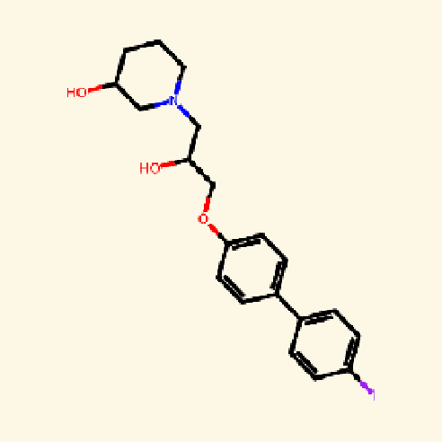 OC1CCCN(CC(O)COc2ccc(-c3ccc(I)cc3)cc2)C1